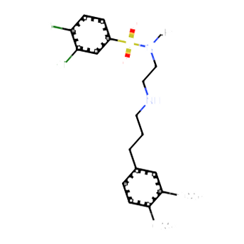 COc1ccc(CCCNCCN(C(C)C)S(=O)(=O)c2ccc(Cl)c(Cl)c2)cc1OC